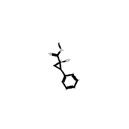 COC(=O)[C@@]1(Cl)CC1c1ccccc1